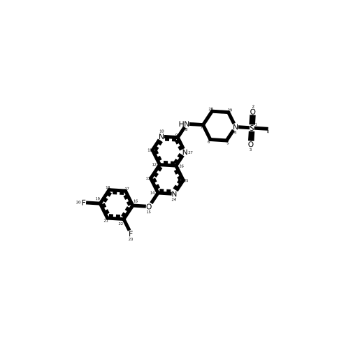 CS(=O)(=O)N1CCC(Nc2ncc3cc(Oc4ccc(F)cc4F)ncc3n2)CC1